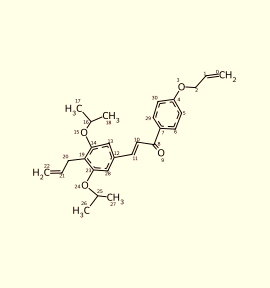 C=CCOc1ccc(C(=O)C=Cc2cc(OC(C)C)c(CC=C)c(OC(C)C)c2)cc1